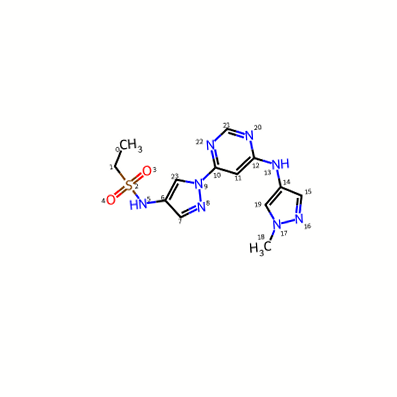 CCS(=O)(=O)Nc1cnn(-c2cc(Nc3cnn(C)c3)ncn2)c1